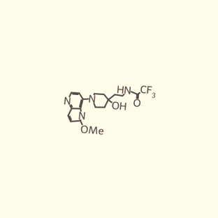 COc1ccc2nccc(N3CCC(O)(CCNC(=O)C(F)(F)F)CC3)c2n1